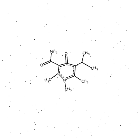 Cc1c(C(N)=O)c(=O)c(C(C)C)c(C)n1C